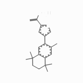 C=C(C(=O)O)c1cc(-c2cc3c(cc2C)C(C)(C)CCC3(C)C)cs1